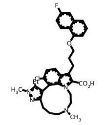 CCc1c2c(nn1C)CCCN(C)CCn1c(C(=O)O)c(CCCOc3cccc4cc(F)ccc34)c3ccc(Cl)c-2c31